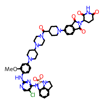 COc1cc(N2CCC(N3CCN(C(=O)C4CCN(c5ccc6c(c5)C(=O)N(C5CCC(=O)NC5=O)C6=O)CC4)CC3)CC2)ccc1Nc1ncc(Cl)c(N2c3cccc4c3N(CC4)S2(=O)=O)n1